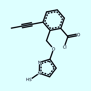 CC#Cc1cccc(C(=O)Cl)c1COc1ccn(S)n1